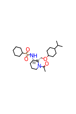 CC(=O)N1CCC[C@H](NS(=O)(=O)C2CCCCC2)[C@@H]1COC1CCC(C(C)C)CC1